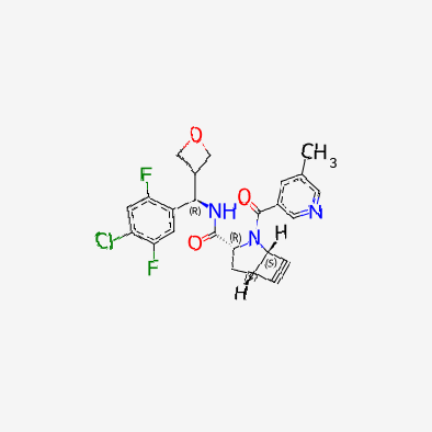 Cc1cncc(C(=O)N2[C@@H](C(=O)N[C@@H](c3cc(F)c(Cl)cc3F)C3COC3)C[C@H]3C#C[C@H]32)c1